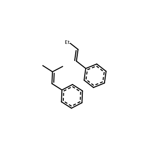 CC(C)=Cc1ccccc1.CCC=Cc1ccccc1